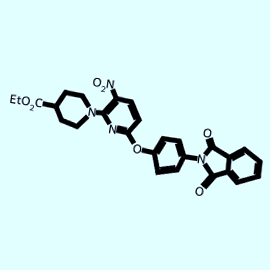 CCOC(=O)C1CCN(c2nc(Oc3ccc(N4C(=O)c5ccccc5C4=O)cc3)ccc2[N+](=O)[O-])CC1